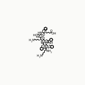 C[C@@H](O)[C@H](NC(=O)[C@H](CCCCN)NC(=O)[C@@H](Cc1c[nH]c2ccccc12)NC(=O)[C@H](Cc1ccccc1)NC(=O)[C@H](Cc1ccccc1)NC(=O)[C@@H](N)CCCCN)C(=O)N[C@@H](Cc1ccccc1)C(=O)NCCCC(=O)O